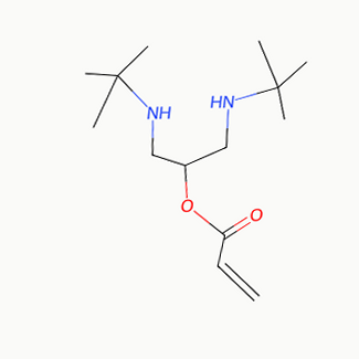 C=CC(=O)OC(CNC(C)(C)C)CNC(C)(C)C